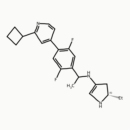 CC[C@H]1CC(NC(C)c2cc(F)c(-c3ccnc(C4CCC4)c3)cc2F)=CN1